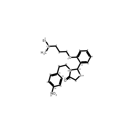 CCN(C)CCCOc1ccccc1C1SCC(=O)N1CCc1ccc([N+](=O)[O-])cc1